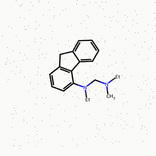 CCN(C)CN(CC)c1cccc2c1-c1ccccc1C2